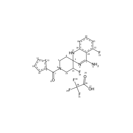 NC1=NC2(CCN(C(=O)c3cccs3)CC2F)Nc2cccc(F)c21.O=C(O)C(F)(F)F